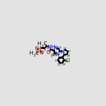 C[C@H](/C=C/S(C)(=O)=O)NC(=O)c1ncc(N2CCCC2c2ccccc2Cl)nc1F